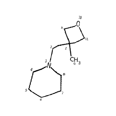 CC1(CN2CCCCC2)COC1